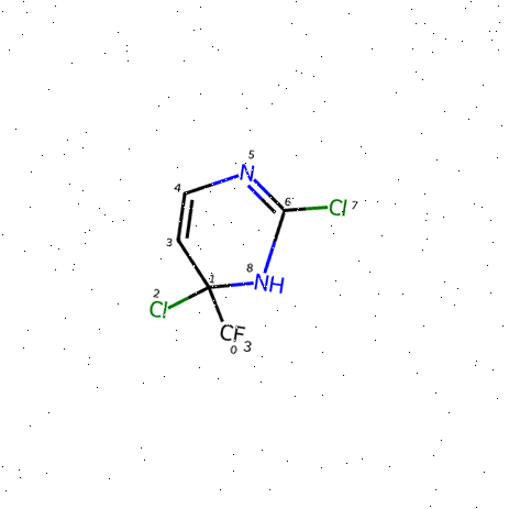 FC(F)(F)C1(Cl)C=CN=C(Cl)N1